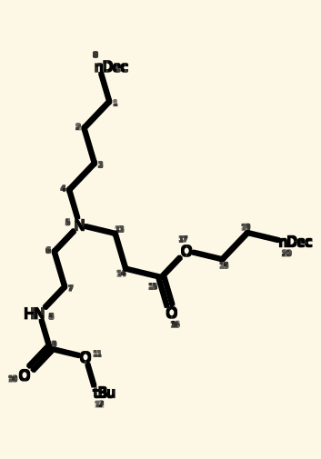 CCCCCCCCCCCCCCN(CCNC(=O)OC(C)(C)C)CCC(=O)OCCCCCCCCCCCC